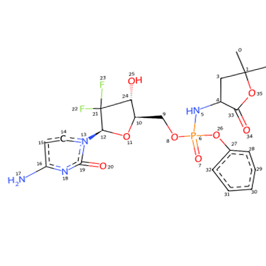 CC1(C)CC(NP(=O)(OC[C@H]2O[C@@H](n3ccc(N)nc3=O)C(F)(F)[C@@H]2O)Oc2ccccc2)C(=O)O1